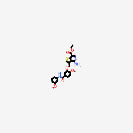 CCOC(=O)c1cnc(N)c2c(COc3cc(C(=O)Nc4cccc(OC)c4)ccc3OC)csc12